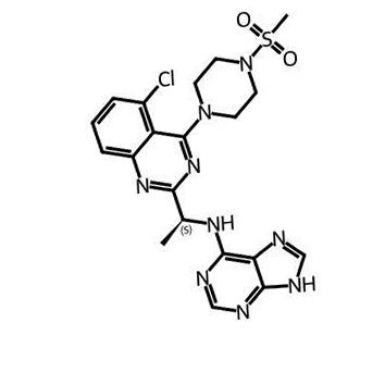 C[C@H](Nc1ncnc2[nH]cnc12)c1nc(N2CCN(S(C)(=O)=O)CC2)c2c(Cl)cccc2n1